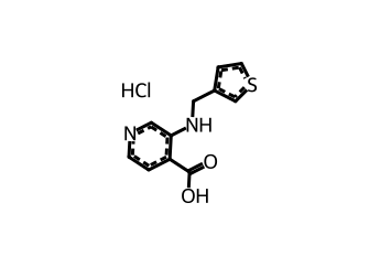 Cl.O=C(O)c1ccncc1NCc1ccsc1